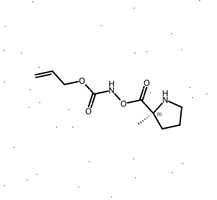 C=CCOC(=O)NOC(=O)[C@]1(C)CCCN1